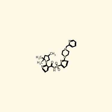 CC1CN(c2ncccc2C(=O)NS(=O)(=O)c2cccc(N3CCN(Cc4ccccn4)CC3)n2)C(C)(C)C1